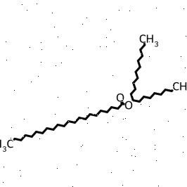 CCCCCCCCCCCCCCCCCCCCCC(=O)OC(CCCCCCCC)CCCCCCCCCCC